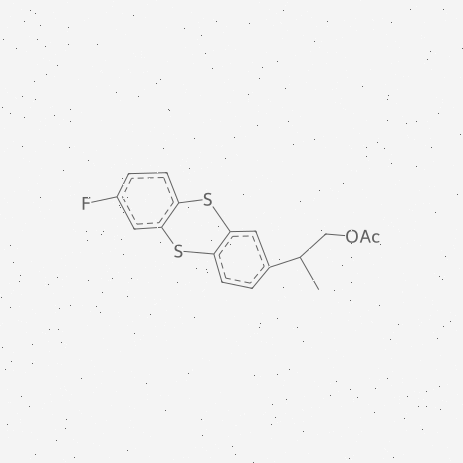 CC(=O)OCC(C)c1ccc2c(c1)Sc1ccc(F)cc1S2